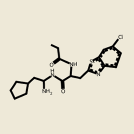 CCC(=O)NC(Cc1nc2ccc(Cl)cc2s1)C(=O)NC(N)CC1CCCC1